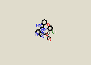 COc1c(Cl)cccc1Nc1c(-c2ccnc3cnc(OC4COC4)nc23)[nH]c2c1C(=O)CCC2